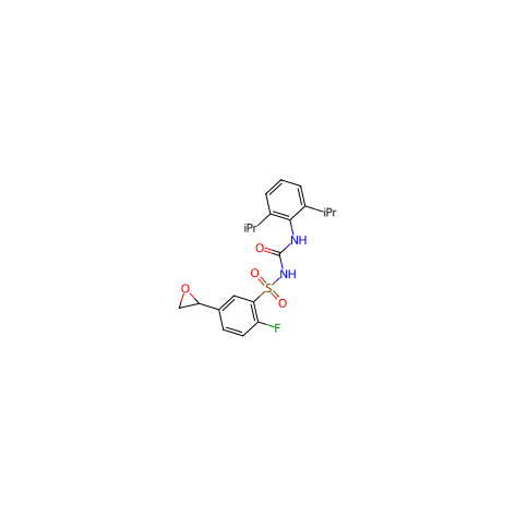 CC(C)c1cccc(C(C)C)c1NC(=O)NS(=O)(=O)c1cc(C2CO2)ccc1F